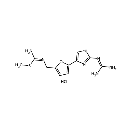 CSC(N)=NCc1ccc(-c2csc(N=C(N)N)n2)o1.Cl